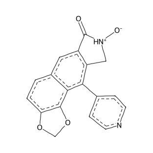 O=C1c2cc3ccc4c(c3c(-c3ccncc3)c2C[NH+]1[O-])OCO4